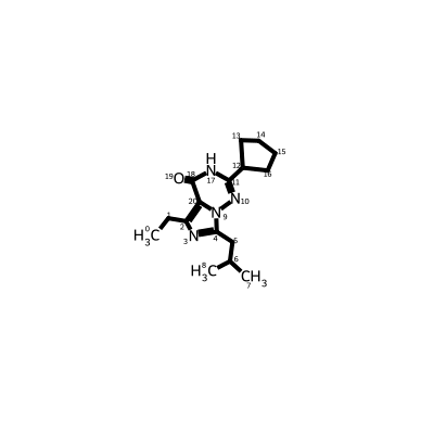 CCc1nc(CC(C)C)n2nc(C3CCCC3)[nH]c(=O)c12